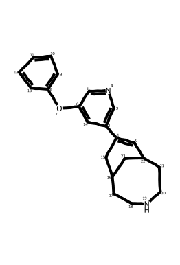 C1=C(c2cncc(Oc3ccccc3)c2)CC2CCNCCC1C2